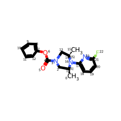 C[C@H]1CN(C(=O)Oc2ccccc2)C[C@H](C)N1c1cccc(F)n1